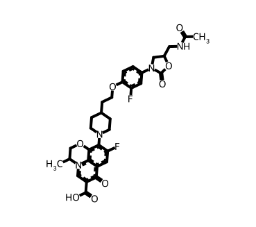 CC(=O)NCC1CN(c2ccc(OCCC3CCN(c4c(F)cc5c(=O)c(C(=O)O)cn6c5c4OCC6C)CC3)c(F)c2)C(=O)O1